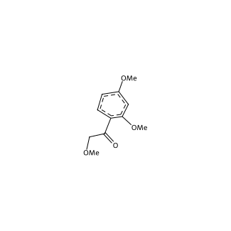 COCC(=O)c1ccc(OC)cc1OC